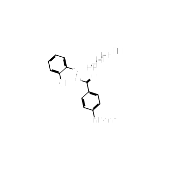 CCCCCc1ccc(C(=O)OSc2ccccc2Cl)cc1.F.F.F.F.F